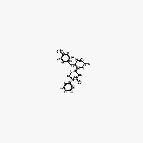 C[C@H]1CN(C2CCN(c3ccccn3)C(=O)C2)[C@@H](Cc2ccc(Cl)cc2)CO1